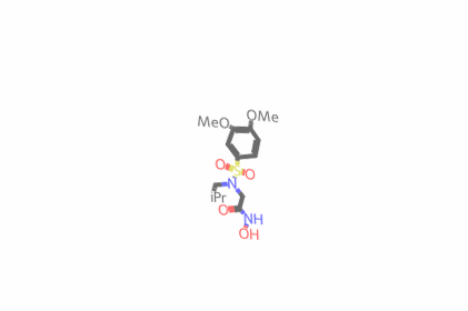 COc1ccc(S(=O)(=O)N(CC(=O)NO)CC(C)C)cc1OC